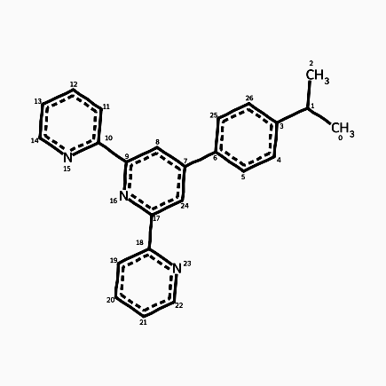 CC(C)c1ccc(-c2cc(-c3ccccn3)nc(-c3ccccn3)c2)cc1